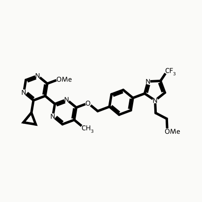 COCCn1cc(C(F)(F)F)nc1-c1ccc(COc2nc(-c3c(OC)ncnc3C3CC3)ncc2C)cc1